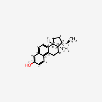 C=C[C@H]1CC[C@H]2c3ccc4cc(O)ccc4c3CC[C@]12C